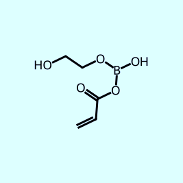 C=CC(=O)OB(O)OCCO